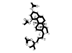 CC(=O)O[C@@H]1CC2=CC[C@H]3[C@@H]4CC[C@H]([C@H](C)CC[C@H](OC(C)=O)C(C)C)[C@@]4(C)CC[C@@H]3[C@@]2(C)[C@@H](OC(C)=O)C1